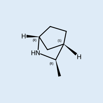 C[C@H]1N[C@@H]2CC[C@H]1C2